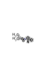 CCCCC(CC)COC(=O)/C=C/c1cccc(-c2ccccc2)c1C#N